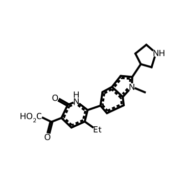 CCc1cc(C(=O)C(=O)O)c(=O)[nH]c1-c1ccc2c(c1)cc(C1CCNC1)n2C